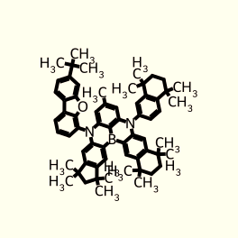 Cc1cc2c3c(c1)N(c1cccc4c1oc1cc(C(C)(C)C)ccc14)c1cc4c(cc1B3c1cc3c(cc1N2c1ccc2c(c1)C(C)(C)CCC2(C)C)C(C)(C)CCC3(C)C)C(C)(C)CC4(C)C